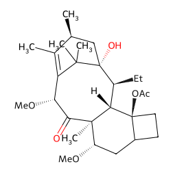 CC[C@H]1[C@H]2[C@](C)(C(=O)[C@H](OC)C3=C(C)[C@@H](C)C[C@]1(O)C3(C)C)[C@@H](OC)CC1CC[C@]12OC(C)=O